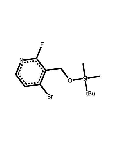 CC(C)(C)[Si](C)(C)OCc1c(Br)ccnc1F